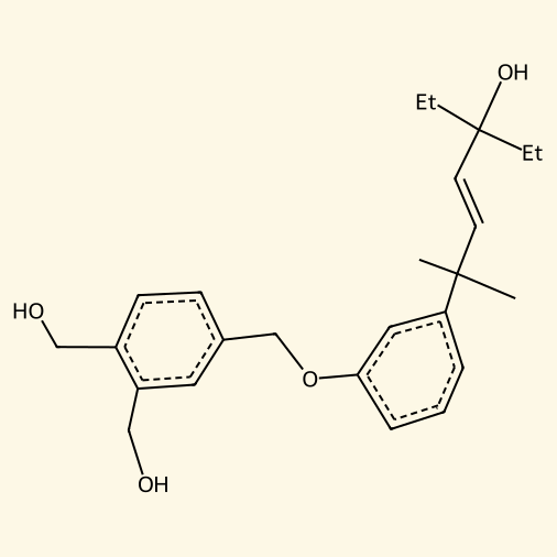 CCC(O)(C=CC(C)(C)c1cccc(OCc2ccc(CO)c(CO)c2)c1)CC